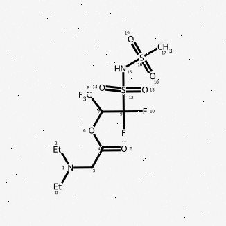 CCN(CC)CC(=O)OC(C(F)(F)F)C(F)(F)S(=O)(=O)NS(C)(=O)=O